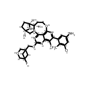 Nc1cc(Cl)c(C(F)(F)F)c(-c2nc3c4c(nc(OCC56COCC(F)(C5)C6)nc4c2F)N2C[C@H]4CC[C@H](N4)[C@H]2CCO3)c1